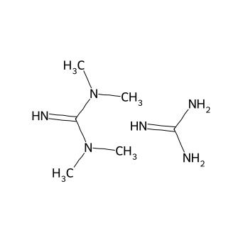 CN(C)C(=N)N(C)C.N=C(N)N